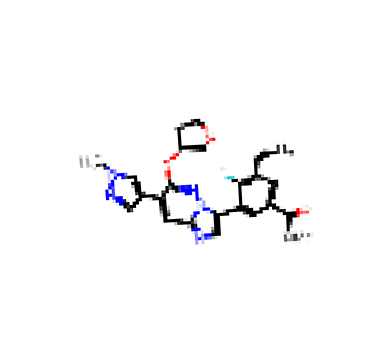 C=Cc1cc(C(=O)NC)cc(-c2cnc3cc(-c4cnn(C)c4)c(O[C@H]4CCOC4)nn23)c1F